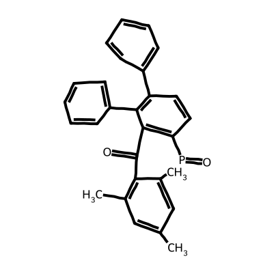 Cc1cc(C)c(C(=O)c2c(P=O)ccc(-c3ccccc3)c2-c2ccccc2)c(C)c1